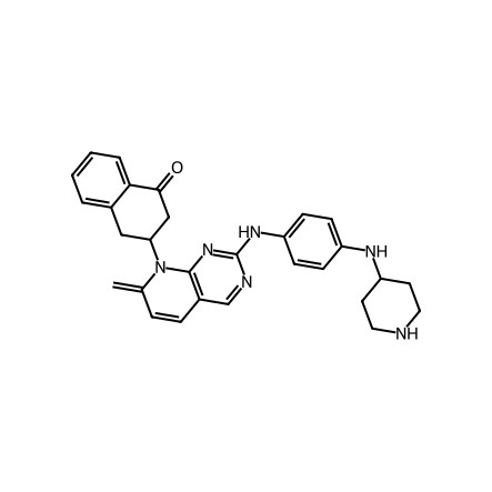 C=C1C=Cc2cnc(Nc3ccc(NC4CCNCC4)cc3)nc2N1C1CC(=O)c2ccccc2C1